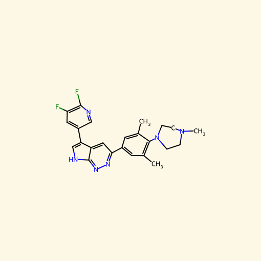 Cc1cc(-c2cc3c(-c4cnc(F)c(F)c4)c[nH]c3nn2)cc(C)c1N1CCN(C)CC1